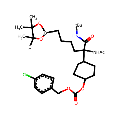 CC(=O)NC(CCCCB1OC(C)(C)C(C)(C)O1)(C(=O)NC(C)(C)C)C1CCC(OC(=O)OCc2ccc(Cl)cc2)CC1